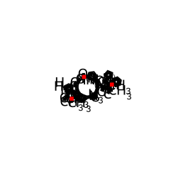 CCn1c(-c2cccnc2[C@H](C)OC)c2c3cc(ccc31)-c1csc(n1)C[C@H](NC(=O)C(C(C)C)N(C)C(=O)N1CCC[C@H]1c1ccccc1)C(=O)N1CCC[C@H](N1)C(=O)OCC(C)(C)C2